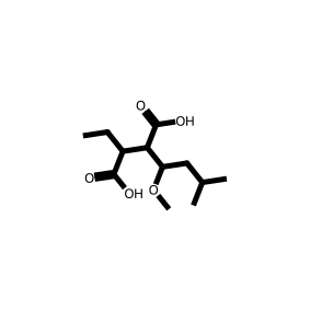 CCC(C(=O)O)C(C(=O)O)C(CC(C)C)OC